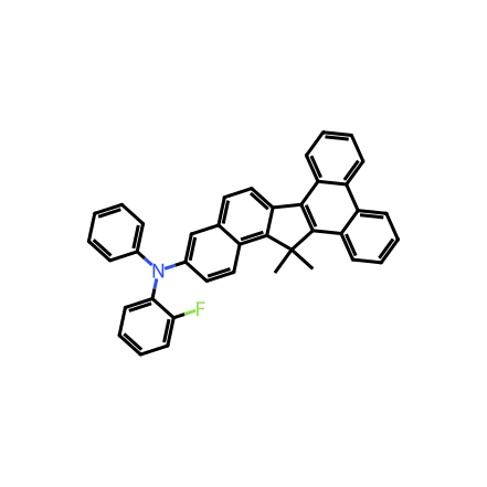 CC1(C)c2c(ccc3cc(N(c4ccccc4)c4ccccc4F)ccc23)-c2c1c1ccccc1c1ccccc21